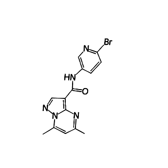 Cc1cc(C)n2ncc(C(=O)Nc3ccc(Br)nc3)c2n1